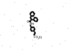 CCOC(=O)/C=C/c1ccc(CNC(=O)C(=Cc2ccccc2)c2ccccc2)cc1